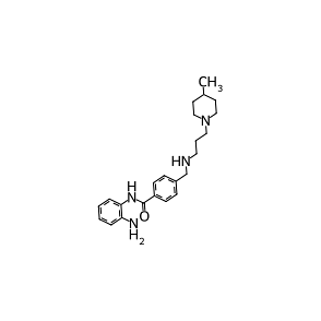 CC1CCN(CCCNCc2ccc(C(=O)Nc3ccccc3N)cc2)CC1